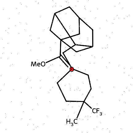 COC(=O)C12CC3CC(C1)C(CC1CCC(C)(C(F)(F)F)CC1)C(C3)C2